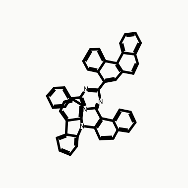 c1ccc(-c2nc(-c3c(-n4c5ccccc5c5ccccc54)ccc4ccccc34)nc(-c3cc4ccc5ccccc5c4c4ccccc34)n2)cc1